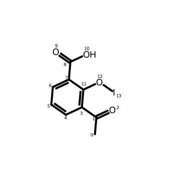 CC(=O)c1cccc(C(=O)O)c1OI